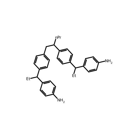 CCCC(Cc1ccc(C(CC)c2ccc(N)cc2)cc1)c1ccc(C(CC)c2ccc(N)cc2)cc1